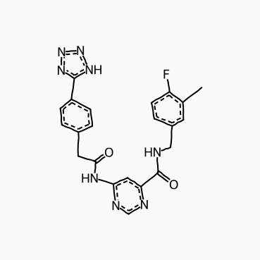 Cc1cc(CNC(=O)c2cc(NC(=O)Cc3ccc(-c4nnn[nH]4)cc3)ncn2)ccc1F